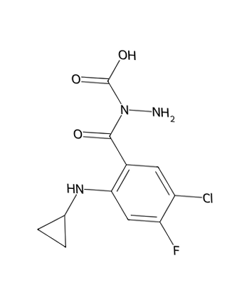 NN(C(=O)O)C(=O)c1cc(Cl)c(F)cc1NC1CC1